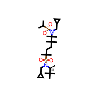 CC(C)S(=O)(=O)N(CC1CC1)C(C)(C)C(C)(C)CCC(C)(C)S(=O)(=O)N(CC1CC1)[C@@H](C)C(C)(C)C